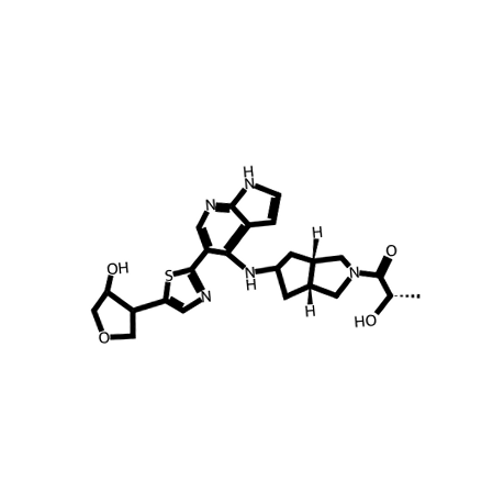 C[C@H](O)C(=O)N1C[C@H]2CC(Nc3c(-c4ncc(C5COCC5O)s4)cnc4[nH]ccc34)C[C@H]2C1